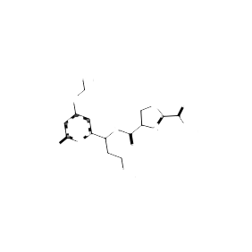 CCCC(NC(=O)C1CSC(C(C)=O)=N1)c1cc(OCC)cc(=O)o1